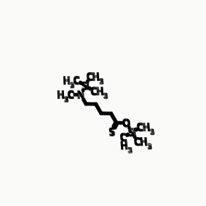 CN(CCCCC(=S)O[Si](C)(C)C)[Si](C)(C)C